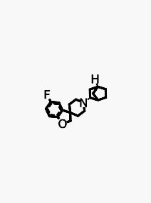 Fc1ccc2c(c1)C1(CCN([C@@H]3C[C@@H]4CCC3C4)CC1)CO2